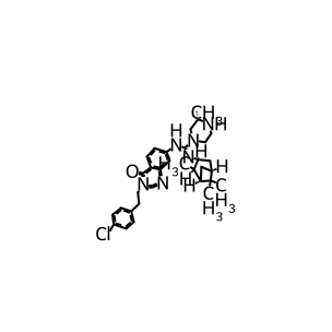 C[C@@H]1[C@@H](N=C(Nc2ccc3c(=O)n(CCc4ccc(Cl)cc4)cnc3c2)N2CCN[C@@H](C)C2)C[C@H]2C[C@@H]1C2(C)C